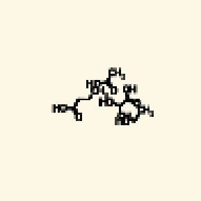 CC(=O)O.CC(O)C(=O)O.CCCC(=O)O.CCO